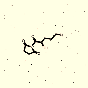 NCCCC(O)C(=O)N1C(=O)CCC1=O